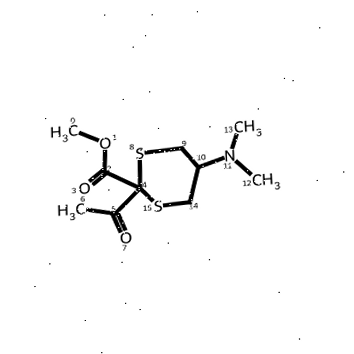 COC(=O)C1(C(C)=O)SCC(N(C)C)CS1